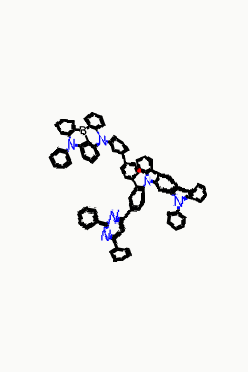 c1ccc(-c2cc(-c3ccc(-n4c5ccccc5c5cc6c7ccccc7n(-c7ccccc7)c6cc54)c(-c4ccc(-c5cccc(N6c7ccccc7B7c8ccccc8N(c8ccccc8)c8cccc6c87)c5)cc4)c3)nc(-c3ccccc3)n2)cc1